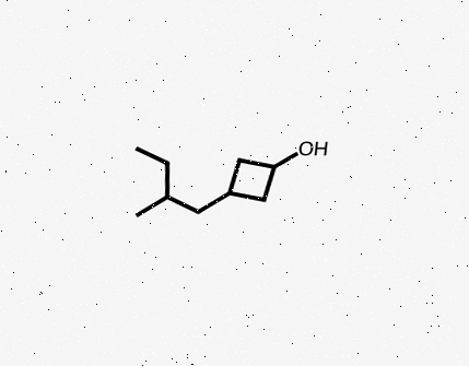 CCC(C)CC1CC(O)C1